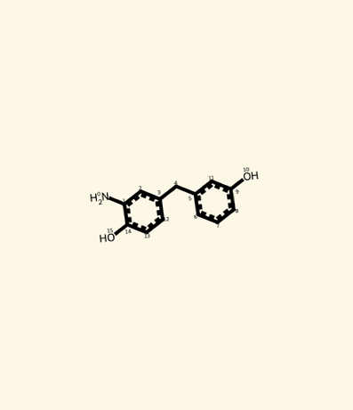 Nc1cc(Cc2cccc(O)c2)ccc1O